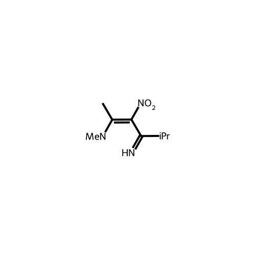 CN/C(C)=C(\C(=N)C(C)C)[N+](=O)[O-]